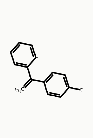 C=C(c1[c]cccc1)c1ccc(F)cc1